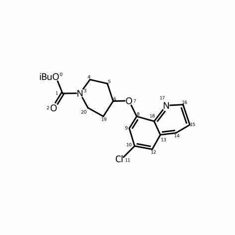 CC(C)COC(=O)N1CCC(Oc2cc(Cl)cc3cccnc23)CC1